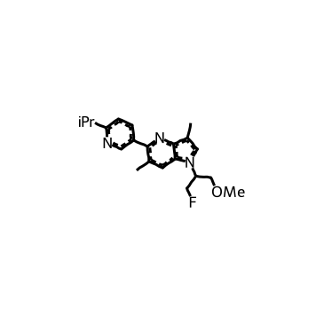 COCC(CF)n1cc(C)c2nc(-c3ccc(C(C)C)nc3)c(C)cc21